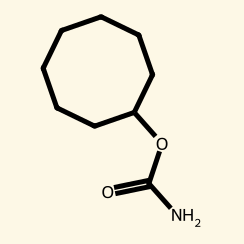 NC(=O)OC1CCCCCCC1